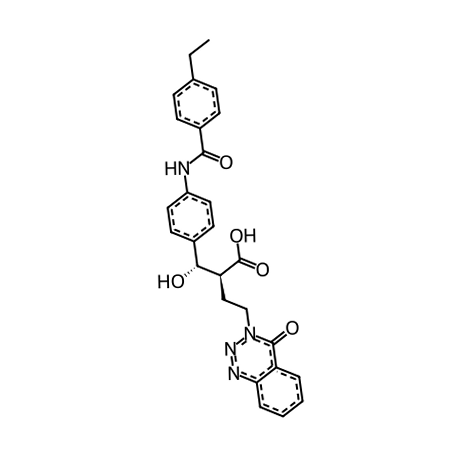 CCc1ccc(C(=O)Nc2ccc([C@@H](O)[C@H](CCn3nnc4ccccc4c3=O)C(=O)O)cc2)cc1